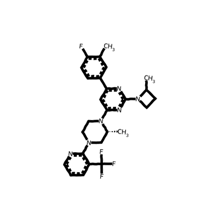 Cc1cc(-c2cc(N3CCN(c4ncccc4C(F)(F)F)C[C@H]3C)nc(N3CCC3C)n2)ccc1F